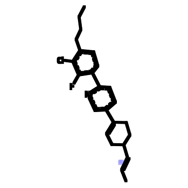 C/C=C/C1CC=C(c2ccc(-c3ccc(CCCC)c(Cl)c3F)nc2)CC1